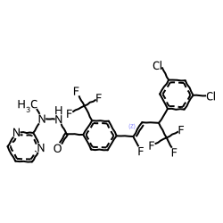 CN(NC(=O)c1ccc(/C(F)=C/C(c2cc(Cl)cc(Cl)c2)C(F)(F)F)cc1C(F)(F)F)c1ncccn1